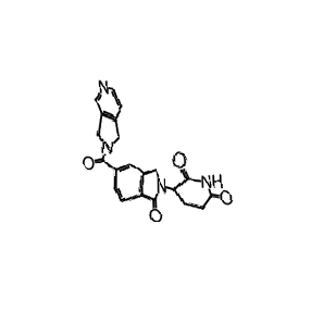 O=C1CCC(N2Cc3cc(C(=O)N4Cc5ccncc5C4)ccc3C2=O)C(=O)N1